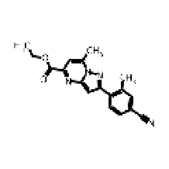 CCOC(=O)c1cc(C)n2nc(-c3ccc(C#N)cc3C)cc2n1